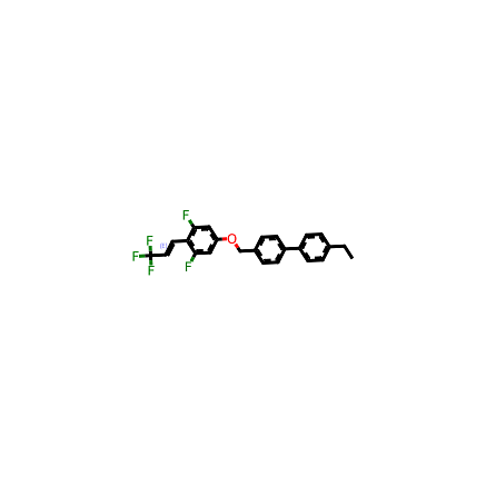 CCc1ccc(-c2ccc(COc3cc(F)c(/C=C/C(F)(F)F)c(F)c3)cc2)cc1